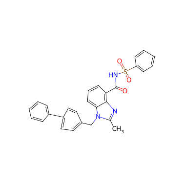 Cc1nc2c(C(=O)NS(=O)(=O)c3ccccc3)cccc2n1Cc1ccc(-c2ccccc2)cc1